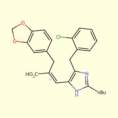 CCCCc1nc(Cc2ccccc2Cl)c(/C=C(\Cc2ccc3c(c2)OCO3)C(=O)O)[nH]1